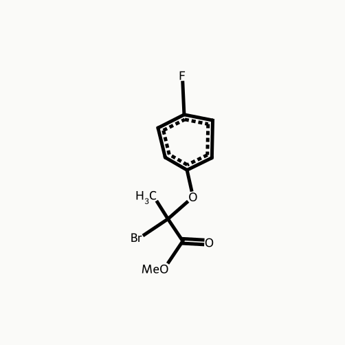 COC(=O)C(C)(Br)Oc1ccc(F)cc1